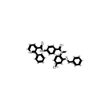 CN(C(=O)c1ccc(NC(=O)c2cccnc2-c2ccccc2)cc1)c1ccc(Cl)cc1OCc1ccccc1